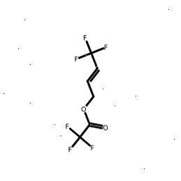 O=C(OCC=CC(F)(F)F)C(F)(F)F